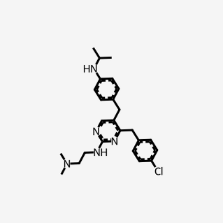 CC(C)Nc1ccc(Cc2cnc(NCCN(C)C)nc2Cc2ccc(Cl)cc2)cc1